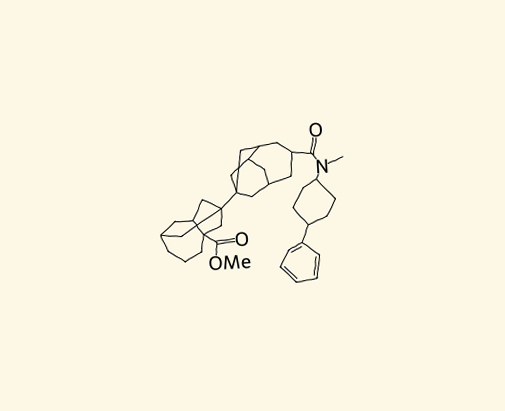 COC(=O)C12CCCC3CC1CC(C14CC5CC(C(=O)N(C)C6CCC(c7ccccc7)CC6)CC(C1)C(C5)C4)(C3)C2